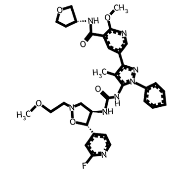 COCCN1C[C@@H](NC(=O)Nc2c(C)c(-c3cnc(OC)c(C(=O)N[C@@H]4CCOC4)c3)nn2-c2ccccc2)[C@H](c2ccnc(F)c2)O1